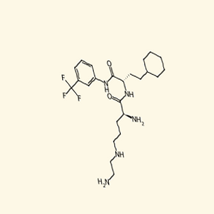 NCCNCCC[C@H](N)C(=O)N[C@@H](CCC1CCCCC1)C(=O)Nc1cccc(C(F)(F)F)c1